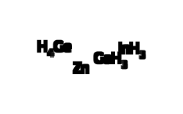 [GaH3].[GeH4].[InH3].[Zn]